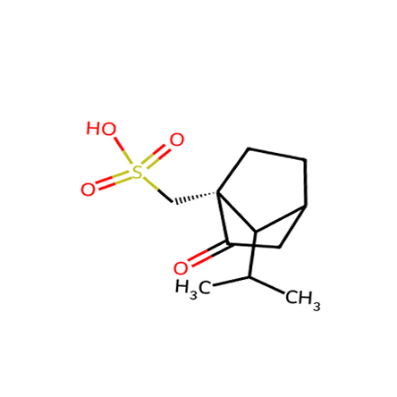 CC(C)C1C2CC[C@]1(CS(=O)(=O)O)C(=O)C2